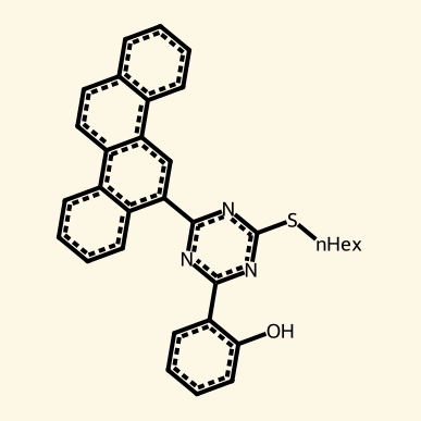 CCCCCCSc1nc(-c2ccccc2O)nc(-c2cc3c4ccccc4ccc3c3ccccc23)n1